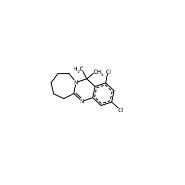 CC1(C)c2c(Cl)cc(Cl)cc2N=C2CCCCCN21